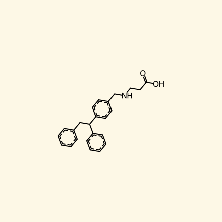 O=C(O)CCNCc1ccc(C(Cc2ccccc2)c2ccccc2)cc1